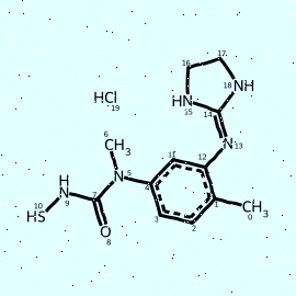 Cc1ccc(N(C)C(=O)NS)cc1N=C1NCCN1.Cl